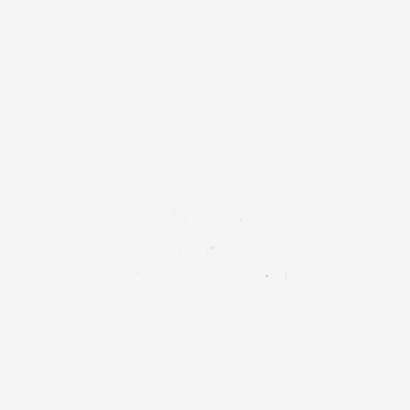 C=CC(C)O[SiH](CCC)CCC